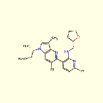 CCc1cc2c(nc1-c1ccc(C(C)C)nc1NC[C@@H]1CCCO1)c(C)cn2[C@@H](C)COC